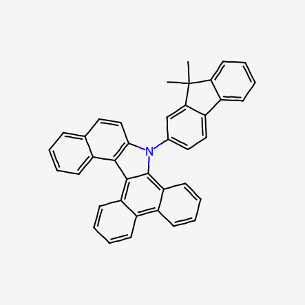 CC1(C)c2ccccc2-c2ccc(-n3c4ccc5ccccc5c4c4c5ccccc5c5ccccc5c43)cc21